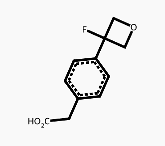 O=C(O)Cc1ccc(C2(F)COC2)cc1